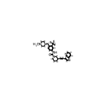 CN1CCN(Cc2ccc(NC(=O)N3CCCC(C#Cc4cnc5cccnn45)C3)cc2C(F)(F)F)CC1